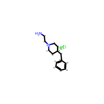 Cl.Cl.NCCN1CCC(Cc2ccccc2)CC1